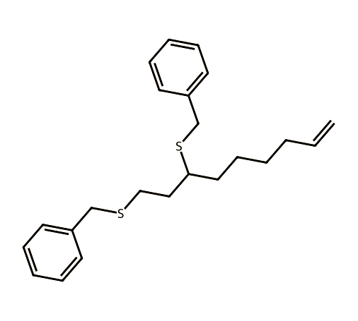 C=CCCCCC(CCSCc1ccccc1)SCc1ccccc1